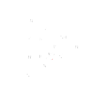 Cc1cc(C)c(N2c3cc4c(cc3B3c5sc6ccccc6c5N(c5ccccc5)c5cc(-n6c7ccccc7c7ccccc76)cc2c53)B2c3cc5c(cc3Oc3cc(-n6c7ccccc7c7ccccc76)cc(c32)O4)Nc2cc(-n3c4ccccc4c4ccccc43)cc3c2B5c2sc4ccccc4c2N3c2ccccc2)c(C)c1